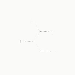 CCS(CI)=C(O)O